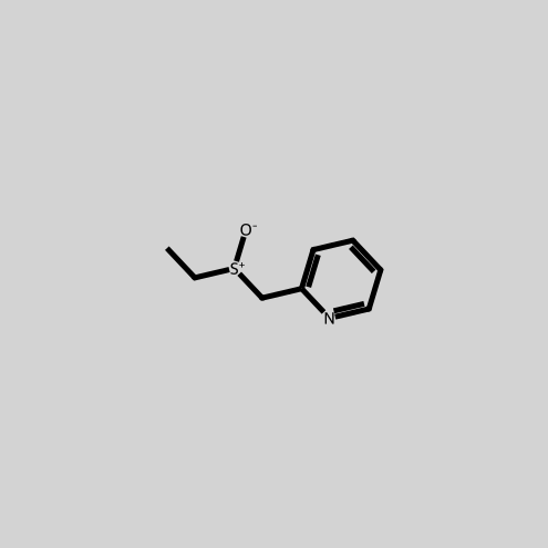 CC[S+]([O-])Cc1ccccn1